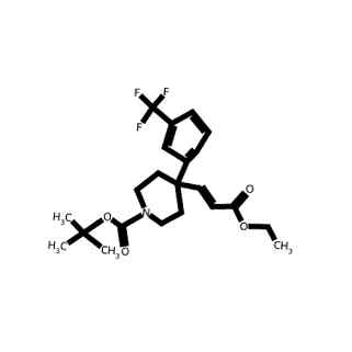 CCOC(=O)/C=C/C1(c2cccc(C(F)(F)F)c2)CCN(C(=O)OC(C)(C)C)CC1